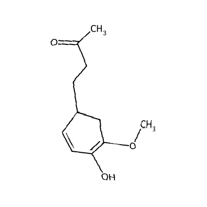 COC1=C(O)C=CC(CCC(C)=O)C1